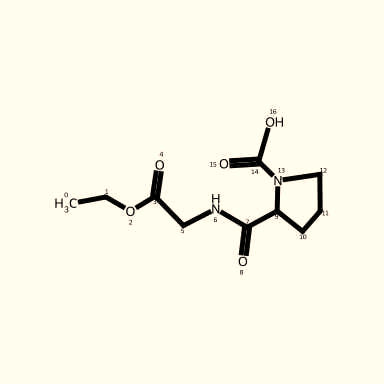 CCOC(=O)CNC(=O)C1CCCN1C(=O)O